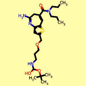 CCCN(CCC)C(=O)C1=Cc2sc(COCCCNC(O)OC(C)(C)C)cc2N=C(N)C1